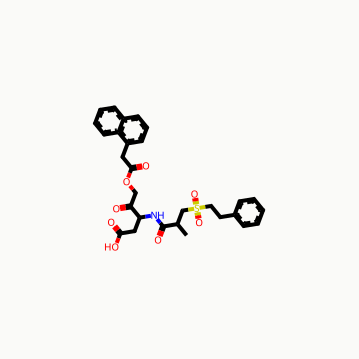 CC(CS(=O)(=O)CCc1ccccc1)C(=O)NC(CC(=O)O)C(=O)COC(=O)Cc1cccc2ccccc12